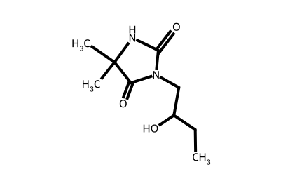 CCC(O)CN1C(=O)NC(C)(C)C1=O